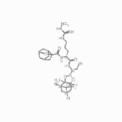 CC(C)C[C@H](NC(=O)[C@H](CCCNC(=N)N[N+](=O)[O-])NC(=O)C12CC3CC(CC1C3)C2)B1O[C@@H]2C[C@@H]3C[C@@H](C3(C)C)[C@]2(C)O1